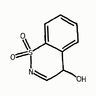 O=S1(=O)N=CC(O)c2ccccc21